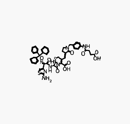 Nc1nc(/C(=N/OC(c2ccccc2)(c2ccccc2)c2ccccc2)C(=O)N[C@@H]2C(=O)N3C(C(=O)O)=C(/C=C4\CCN(Cc5ccc(NC(=O)CCC(=O)O)cc5)C4=O)CS[C@H]23)cs1